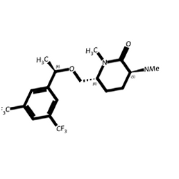 CN[C@H]1CC[C@H](CO[C@H](C)c2cc(C(F)(F)F)cc(C(F)(F)F)c2)N(C)C1=O